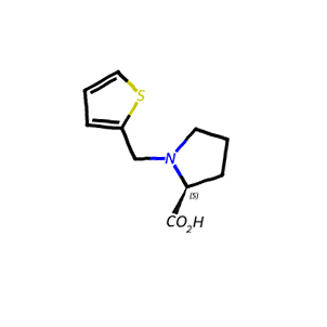 O=C(O)[C@@H]1CCCN1Cc1cccs1